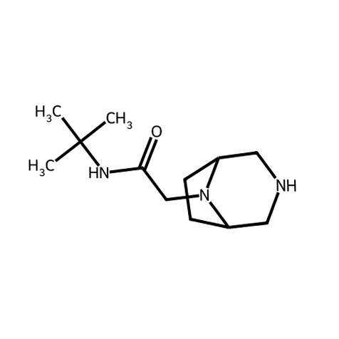 CC(C)(C)NC(=O)CN1C2CCC1CNC2